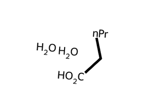 CCCCC(=O)O.O.O